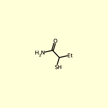 [CH2]CC(S)C(N)=O